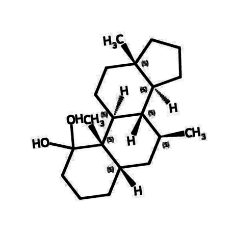 C[C@H]1C[C@@H]2CCCC(O)(O)[C@]2(C)[C@H]2CC[C@]3(C)CCC[C@H]3[C@H]12